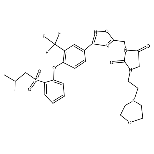 CC(C)CS(=O)(=O)c1ccccc1Oc1ccc(-c2noc(CN3C(=O)CN(CCN4CCOCC4)C3=O)n2)cc1C(F)(F)F